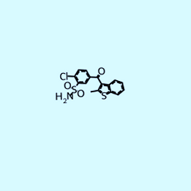 Cc1sc2ccccc2c1C(=O)c1ccc(Cl)c(S(N)(=O)=O)c1